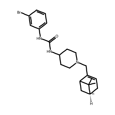 CC1(C)C2C[C@@H]1CC=C2CN1CCC(NC(=O)Nc2cccc(Br)c2)CC1